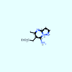 CCOC(=O)Cc1c(C)nc2ccnn2c1N